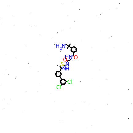 CC(C)(CN)c1cccc(C(=O)NCC(=O)Nc2nc(-c3cccc(-c4cc(Cl)cc(Cl)c4)c3)cs2)c1